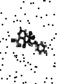 CCC(CC)c1cccc2c1C(=O)N(CSc1ccccc1)S2(=O)=O